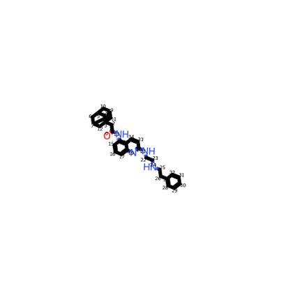 O=C(CC12CC3CC(CC(C3)C1)C2)Nc1cccc2nc(NCCNCCc3ccccc3)ccc12